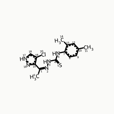 CC(=NNC(=S)Nc1ccc(C)cc1C)c1n[nH]cc1Cl